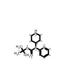 CC(C)(C)OC(=O)N(c1ccccn1)C1CCNCC1